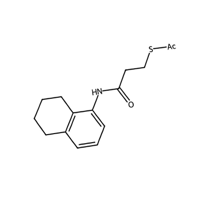 CC(=O)SCCC(=O)Nc1cccc2c1CCCC2